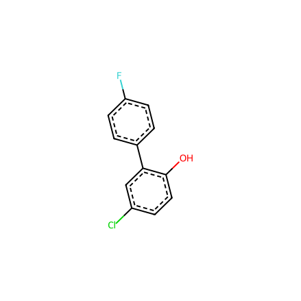 Oc1ccc(Cl)cc1-c1ccc(F)cc1